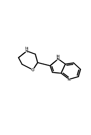 c1cnc2cc(C3CNCCO3)[nH]c2c1